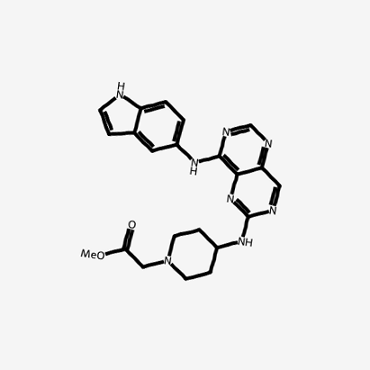 COC(=O)CN1CCC(Nc2ncc3ncnc(Nc4ccc5[nH]ccc5c4)c3n2)CC1